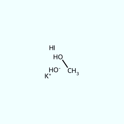 CO.I.[K+].[OH-]